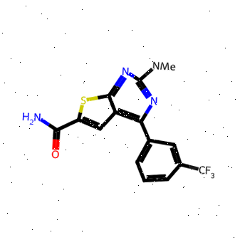 CNc1nc(-c2cccc(C(F)(F)F)c2)c2cc(C(N)=O)sc2n1